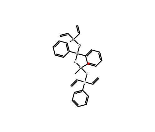 C=C[Si](C)(C=C)O[Si](O[Si](C)(C)O[Si](C=C)(C=C)c1ccccc1)(c1ccccc1)c1ccccc1